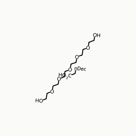 CCCCCCCCCCCC(=O)O.OCCOCCOCCOCCOCCOCCO